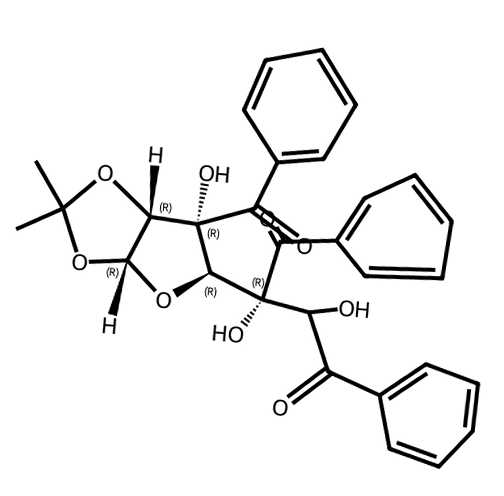 CC1(C)O[C@H]2O[C@H]([C@@](O)(C(=O)c3ccccc3)C(O)C(=O)c3ccccc3)[C@](O)(C(=O)c3ccccc3)[C@H]2O1